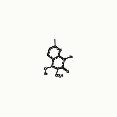 CCOc1c(C(=O)O)c(=O)n(CC)c2nc(C)ccc12